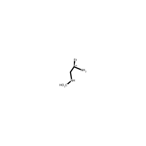 CC[C@@H](N)CNC(=O)O